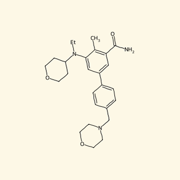 CCN(c1cc(-c2ccc(CN3CCOCC3)cc2)cc(C(N)=O)c1C)C1CCOCC1